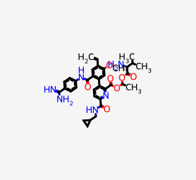 C=Cc1cc(C(=O)Nc2ccc(C(=N)N)cc2)c(-c2ccc(C(=O)NCC3CC3)nc2C(=O)OC(C)OC(=O)[C@@H](N)C(C)C)cc1OC